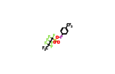 O=S(=O)(O[I+]c1ccc(C(F)(F)F)cc1)C(F)(F)C(F)(F)C(F)(F)C(F)(F)F